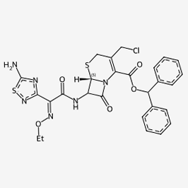 CCON=C(C(=O)NC1C(=O)N2C(C(=O)OC(c3ccccc3)c3ccccc3)=C(CCl)CS[C@@H]12)c1nsc(N)n1